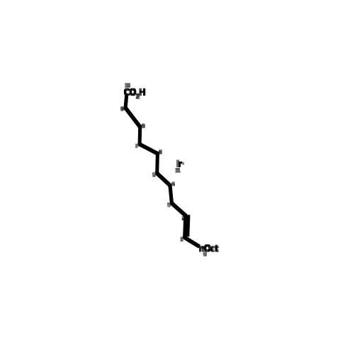 CCCCCCCCC=CCCCCCCCC(=O)O.[Ir]